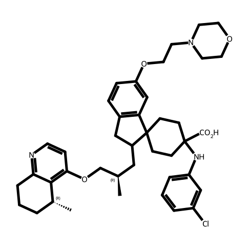 C[C@@H](COc1ccnc2c1[C@H](C)CCC2)CC1Cc2ccc(OCCN3CCOCC3)cc2C12CCC(Nc1cccc(Cl)c1)(C(=O)O)CC2